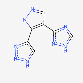 C1=N[N]C(c2c[nH]nn2)=C1c1nc[nH]n1